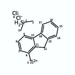 C[SiH2]C.[Cl-].[Cl-].[Ti+2][c]1cccc2c1Cc1ccccc1-2